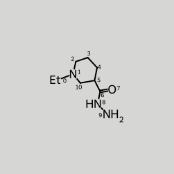 CCN1CCCC(C(=O)NN)C1